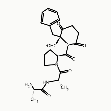 C[C@H](N)C(=O)N[C@@H](C)C(=O)N1CCC[C@H]1C(=O)N1C(=O)CCC(=O)[C@@]1([C]=O)Cc1ccccc1